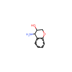 NC1c2ccccc2OCC1O